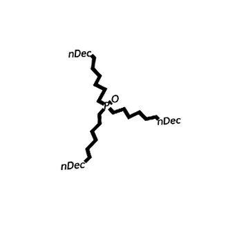 CCCCCCCCCCCCCCCCP(=O)(CCCCCCCCCCCCCCCC)CCCCCCCCCCCCCCCC